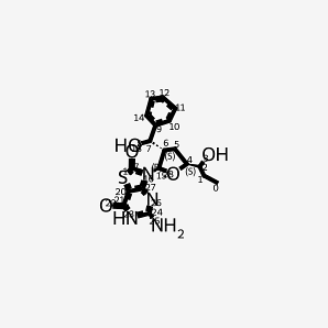 CCC(O)[C@@H]1C[C@@H](C(O)c2ccccc2)[C@H](n2c(=O)sc3c(=O)[nH]c(N)nc32)O1